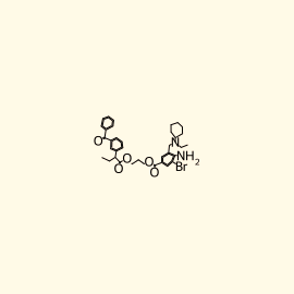 CCC(C(=O)OCCCOC(=O)c1cc(Br)c(N)c(CN(CC)C2CCCCC2)c1)c1cccc(C(=O)c2ccccc2)c1